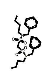 CCCCN(Cc1ccccc1)S(=O)(=O)CS(=O)(=O)N(CCCC)Cc1ccccc1